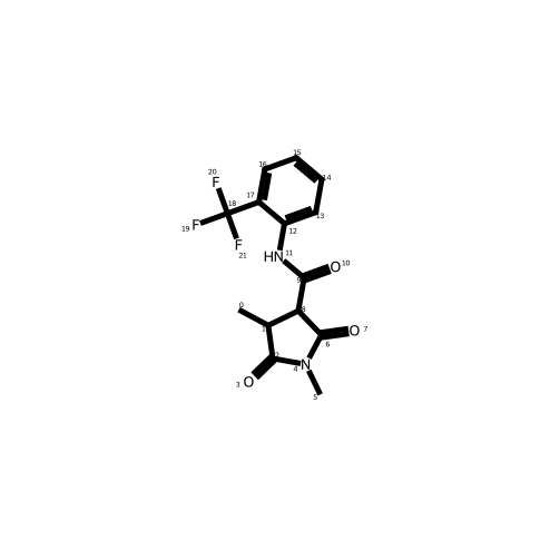 CC1C(=O)N(C)C(=O)C1C(=O)Nc1ccccc1C(F)(F)F